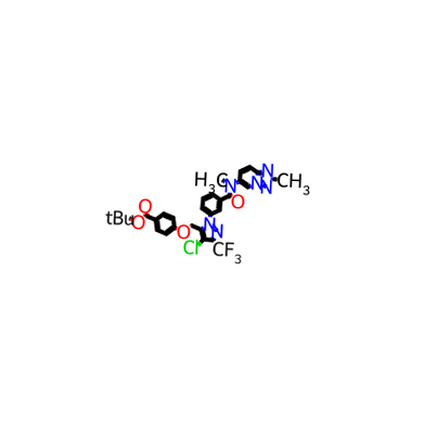 Cc1nc2ccc(N(C)C(=O)c3cccc(-n4nc(C(F)(F)F)c(Cl)c4COc4ccc(C(=O)OC(C)(C)C)cc4)c3)cn2n1